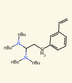 C=Cc1cccc([SiH2]CC(N(CCCC)CCCC)N(CCCC)CCCC)c1